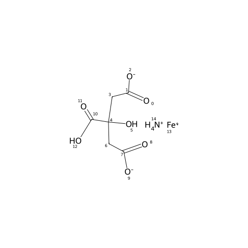 O=C([O-])CC(O)(CC(=O)[O-])C(=O)O.[Fe+].[NH4+]